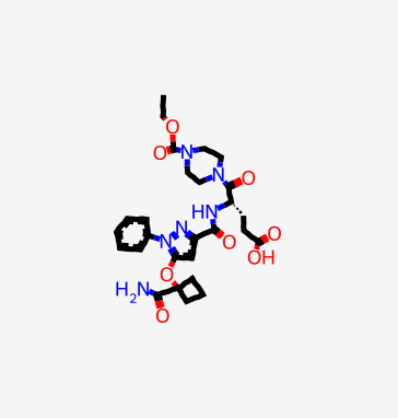 CCOC(=O)N1CCN(C(=O)[C@H](CCC(=O)O)NC(=O)c2cc(OC3(C(N)=O)CCC3)n(-c3ccccc3)n2)CC1